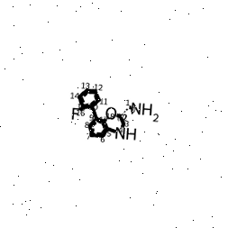 NC[C@@H]1CNc2cccc(-c3ccccc3F)c2O1